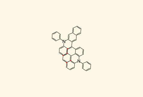 c1ccc(N(c2ccccc2)c2cc3ccccc3cc2-c2cc3ccccc3c3c(N(c4ccccc4)c4ccccc4)cccc23)cc1